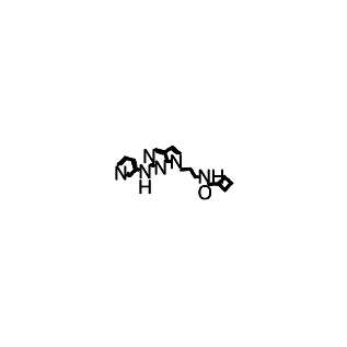 O=C(NCCCn1ccc2cnc(Nc3cccnc3)nc21)C1CCC1